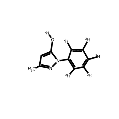 [2H]Oc1cc(C)nn1-c1c([2H])c([2H])c([2H])c([2H])c1[2H]